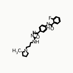 C[C@H]1CCCN1CCCNc1nnc(-c2ccc(NC(=O)c3ccccc3F)cc2)o1